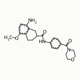 COc1ccc(N)c2c1CCC(C(=O)Nc1ccc(C(=O)N3CCOCC3)cc1)C2